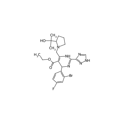 CCOC(=O)C1=C(CN2CCCC2C(C)(C)O)NC(c2nc[nH]n2)=NC1c1ccc(F)cc1Br